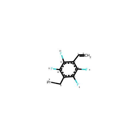 C=Cc1c(F)c(F)c(CC(C)C)c(F)c1F